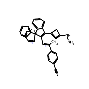 C/C=C\C=C/C1(c2ccccc2)C(/C=C(\C)c2ccc(C#N)cc2)=C(C2=C=C(NN)C2)c2ccccc21